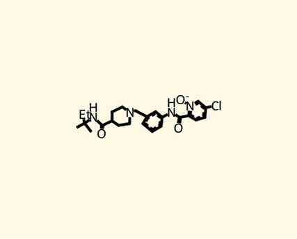 CCC(C)(C)NC(=O)C1CCN(Cc2cccc(NC(=O)c3ccc(Cl)c[n+]3[O-])c2)CC1